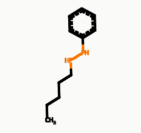 CCCCCPPc1ccccc1